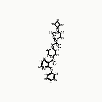 O=C(CN1CCN(C(=O)c2cccnc2Sc2ccccc2)CC1)N1CCN(C2CCC2)CC1